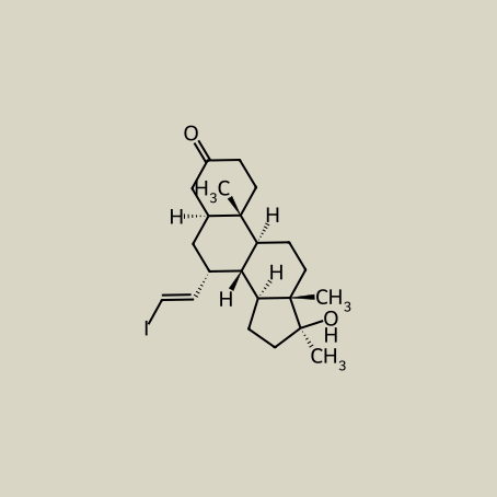 C[C@]12CCC(=O)C[C@@H]1C[C@@H](/C=C/I)[C@@H]1[C@@H]2CC[C@@]2(C)[C@H]1CC[C@]2(C)O